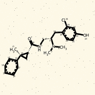 CN(C)[C@H](CNC(=O)[C@@H]1C[C@@]1(C)c1ccccc1)Cc1ccc(O)cc1Cl